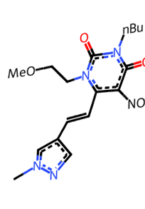 CCCCn1c(=O)c([N+](=O)[O-])c(/C=C/c2cnn(C)c2)n(CCOC)c1=O